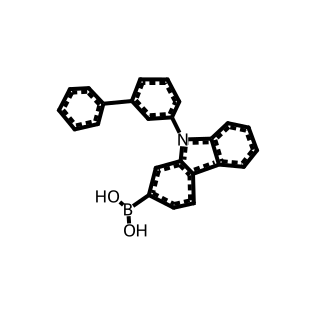 OB(O)c1ccc2c3ccccc3n(-c3cccc(-c4ccccc4)c3)c2c1